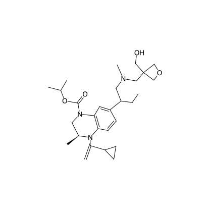 C=C(C1CC1)N1c2ccc(C(CC)CN(C)CC3(CO)COC3)cc2N(C(=O)OC(C)C)C[C@@H]1C